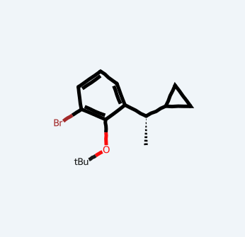 C[C@H](c1cccc(Br)c1OC(C)(C)C)C1CC1